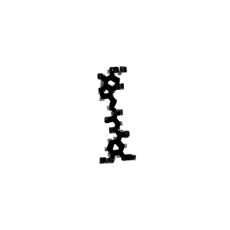 CCOC(=O)c1c[nH]c2c(/C=N/NC(=O)CNC(=O)c3ccc(OC)c(OC)c3)csc2c1=O